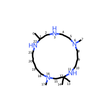 CC1CNCCN(C)CCCNC(C)(C)CN(C)CCCCN1